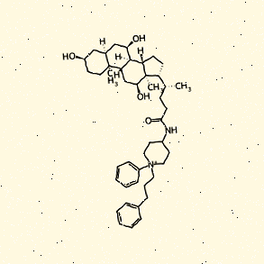 C[C@H](CCC(=O)NC1CC[N+](CCCc2ccccc2)(c2ccccc2)CC1)[C@H]1CC[C@H]2[C@@H]3[C@H](O)C[C@@H]4C[C@H](O)CC[C@]4(C)[C@H]3C[C@H](O)[C@]12C